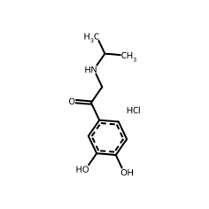 CC(C)NCC(=O)c1ccc(O)c(O)c1.Cl